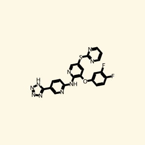 Fc1ccc(Oc2cc(Sc3ncccn3)cnc2Nc2ccc(-c3nnn[nH]3)cn2)cc1F